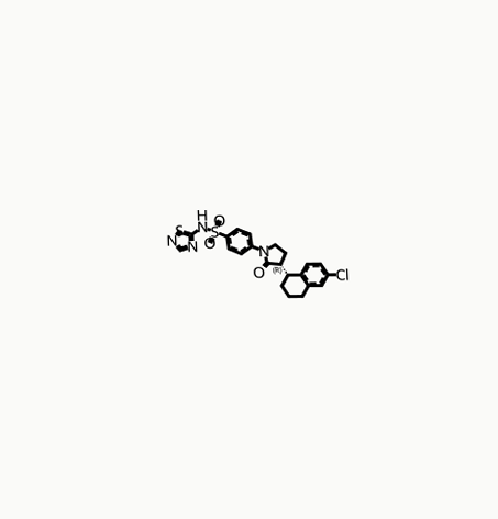 O=C1[C@@H](C2CCCc3cc(Cl)ccc32)CCN1c1ccc(S(=O)(=O)Nc2ncns2)cc1